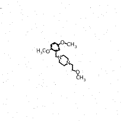 COCCN1CCN(Cc2cc(OC)ccc2OC)CC1